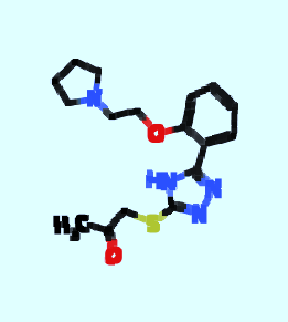 CC(=O)CSc1nnc(-c2ccccc2OCCN2CCCC2)[nH]1